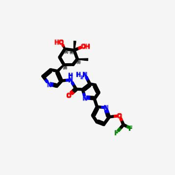 C[C@H]1C[C@@H](c2ccncc2NC(=O)c2nc(-c3cccc(OC(F)F)n3)ccc2N)C[C@@H](O)[C@]1(C)O